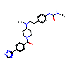 CNC(=O)Nc1ccc(CCN(C)C2CCN(C(=O)c3ccc(-c4nc[nH]n4)cc3)CC2)cc1